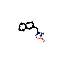 O=S1NC(Cc2ccc3ccccc3c2)=NO1